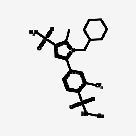 Cc1c(S(N)(=O)=O)cc(-c2ccc(S(=O)(=O)NC(C)(C)C)c(C(F)(F)F)c2)n1CC1CCCCC1